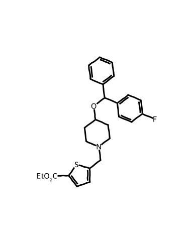 CCOC(=O)c1ccc(CN2CCC(OC(c3ccccc3)c3ccc(F)cc3)CC2)s1